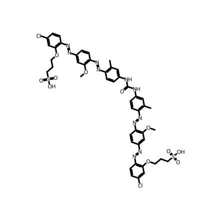 COc1cc(N=Nc2ccc(Cl)cc2OCCCS(=O)(=O)O)ccc1N=Nc1ccc(NC(=O)Nc2ccc(N=Nc3ccc(N=Nc4ccc(Cl)cc4OCCCS(=O)(=O)O)cc3OC)c(C)c2)cc1C